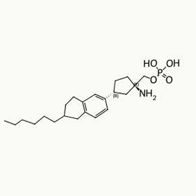 CCCCCCC1CCc2cc([C@@H]3CC[C@](N)(COP(=O)(O)O)C3)ccc2C1